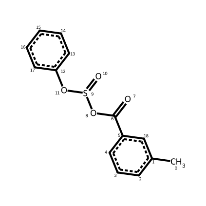 Cc1cccc(C(=O)OS(=O)Oc2ccccc2)c1